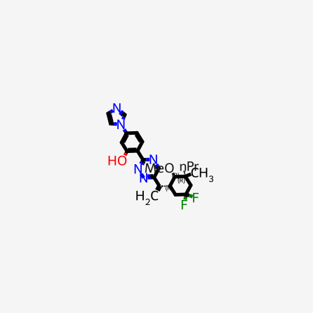 C=C(c1cnc(-c2ccc(-n3ccnc3)cc2O)nn1)[C@H]1CC(F)(F)C[C@@](C)(CCC)[C@@H]1OC